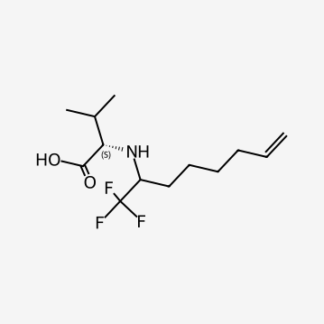 C=CCCCCC(N[C@H](C(=O)O)C(C)C)C(F)(F)F